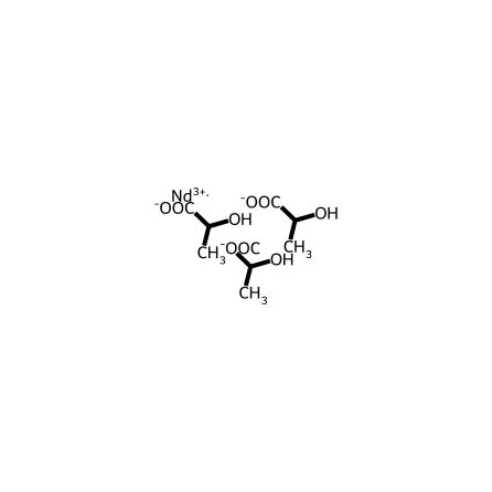 CC(O)C(=O)[O-].CC(O)C(=O)[O-].CC(O)C(=O)[O-].[Nd+3]